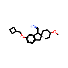 CO[C@H]1CC[C@]2(CC1)Cc1ccc(OCC3CCC3)cc1C2C=N